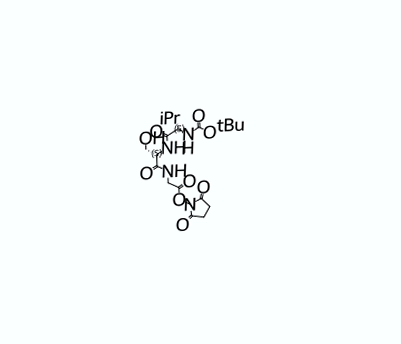 CC(C)[C@H](NC(=O)OC(C)(C)C)C(=O)N[C@@H](CO)C(=O)NCC(=O)ON1C(=O)CCC1=O